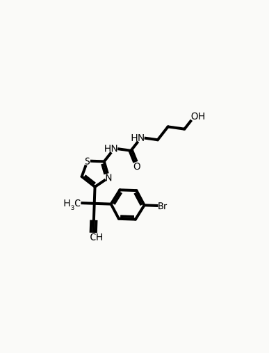 C#CC(C)(c1ccc(Br)cc1)c1csc(NC(=O)NCCCO)n1